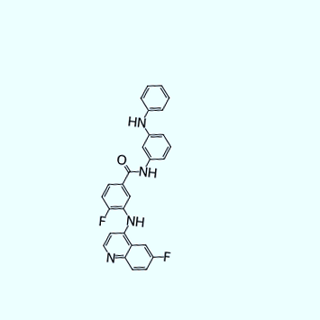 O=C(Nc1cccc(Nc2ccccc2)c1)c1ccc(F)c(Nc2ccnc3ccc(F)cc23)c1